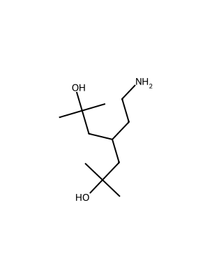 CC(C)(O)CC(CCN)CC(C)(C)O